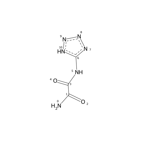 NC(=O)C(=O)Nc1nnn[nH]1